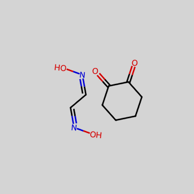 O/N=C\C=N/O.O=C1CCCCC1=O